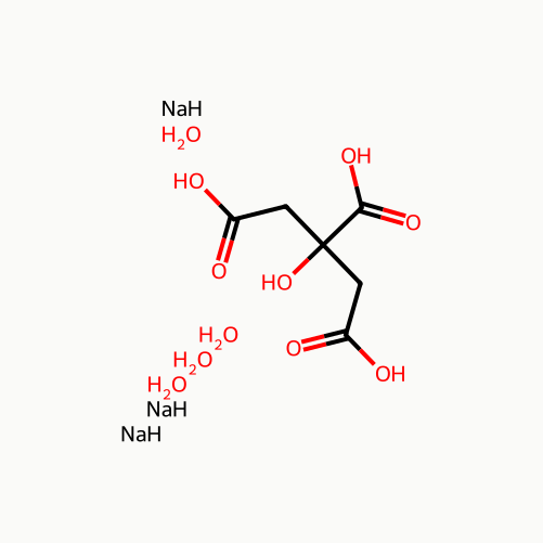 O.O.O.O.O=C(O)CC(O)(CC(=O)O)C(=O)O.[NaH].[NaH].[NaH]